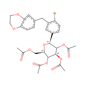 CC(=O)OC[C@H]1O[C@@H](c2ccc(Br)c(Cc3ccc4c(c3)OCCO4)c2)C(OC(C)=O)[C@@H](OC(C)=O)C1OC(C)=O